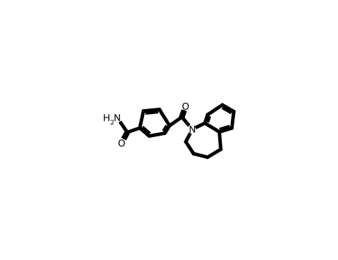 NC(=O)c1ccc(C(=O)N2CCCCc3ccccc32)cc1